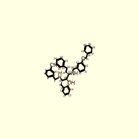 N#Cc1cccc(CN[C@H](Cc2ccccc2)[C@H](O)[C@@H](CCc2ccccc2)NCc2cccc(OCc3ccccc3)c2)c1